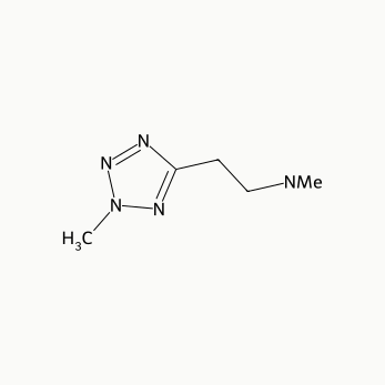 CNCCc1nnn(C)n1